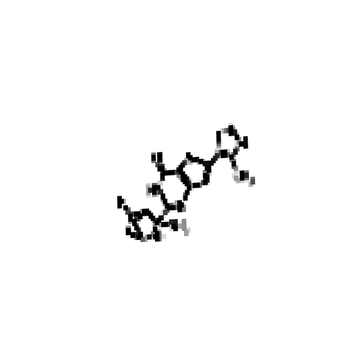 Cc1[nH]ncc1-c1cc2nc(C3(N)NC4CC(F)C3C4)[nH]c(=O)c2s1